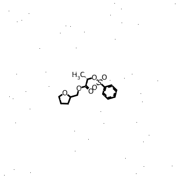 C[C@H](OS(=O)(=O)c1ccccc1)C(=O)OCC1CCCO1